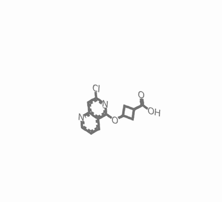 O=C(O)C1CC(Oc2nc(Cl)cc3ncccc23)C1